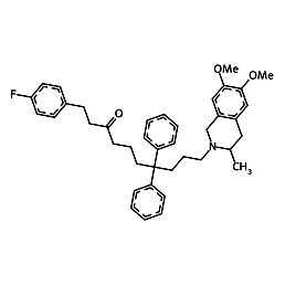 COc1cc2c(cc1OC)CN(CCCC(CCCC(=O)CCc1ccc(F)cc1)(c1ccccc1)c1ccccc1)C(C)C2